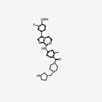 COc1ccc(-c2cnc3c(Nc4ccc(C(=O)N5CCN(C[C@H]6CCNC6)CC5)c(C)c4)nccn23)cc1F